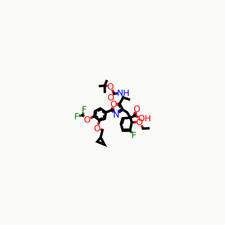 CCOC1C(F)=CC=CC1(Cc1nc(-c2ccc(OC(F)F)c(OCC3CC3)c2)oc1C(C)NC(=O)OC(C)(C)C)C(=O)O